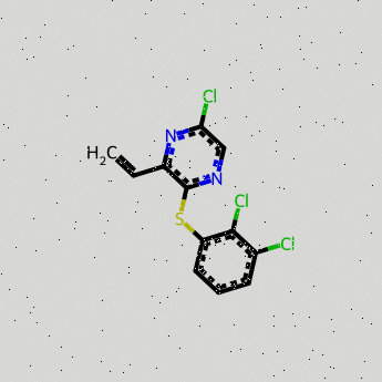 C=Cc1nc(Cl)cnc1Sc1cccc(Cl)c1Cl